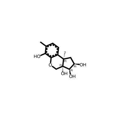 Cc1ccc2c(c1O)OC[C@]1(O)[C@H](O)[C@H](O)C[C@]21C